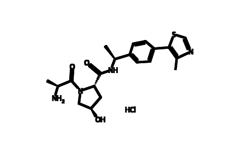 Cc1ncsc1-c1ccc([C@H](C)NC(=O)[C@@H]2C[C@@H](O)CN2C(=O)[C@H](C)N)cc1.Cl